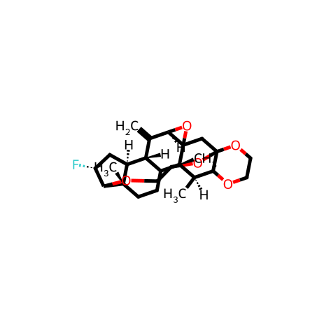 C=C1[C@@H]2C3CC[C@]4(C)C(OCCOC56CC7(O[C@H]17)[C@]3(C)[C@H](C)C5OCCO6)[C@H](F)C[C@@H]24